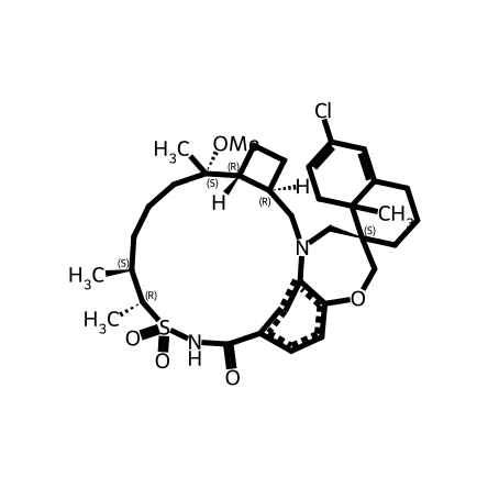 CO[C@@]1(C)CCC[C@H](C)[C@@H](C)S(=O)(=O)NC(=O)c2ccc3c(c2)N(C[C@@H]2CC[C@H]21)C[C@@]1(CCCC2=CC(Cl)=CCC21C)CO3